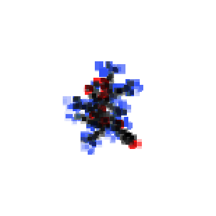 N=C(N)NCCC[C@H](NC(=O)[C@H](CCCNC(=N)N)NC(=O)[C@H](CCCNC(=N)N)NC(=O)[C@H](CCC(N)=O)NC(=O)[C@H](CCCNC(=N)N)NC(=O)[C@H](CCCCN)NC(=O)[C@H](CCCCN)NC(=O)[C@H](CCCNC(=N)N)NC(=O)CNC(=O)[C@@H](N)Cc1ccc(O)cc1)C(=O)O